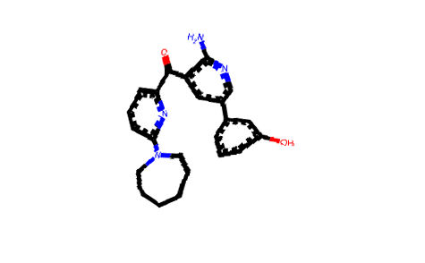 Nc1ncc(-c2cccc(O)c2)cc1C(=O)c1cccc(N2CCCCCC2)n1